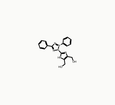 OCc1nc(-n2nc(-c3ccccc3)n[n+]2-c2ccccc2)[nH]c1CO